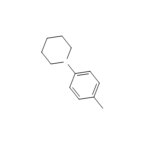 Cc1ccc([S+]2CCCCC2)cc1